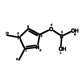 Cc1nc(OB(O)O)cn1C